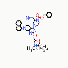 CN1CC(COc2nc3c(c(N4CCN(C(=O)OCc5ccccc5)C(CC#N)C4)n2)CCN(c2cccc4ccccc24)C3)OCC1(C)C